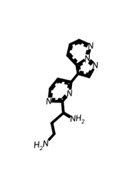 NCCC(N)c1nccc(-c2cnn3ncccc23)n1